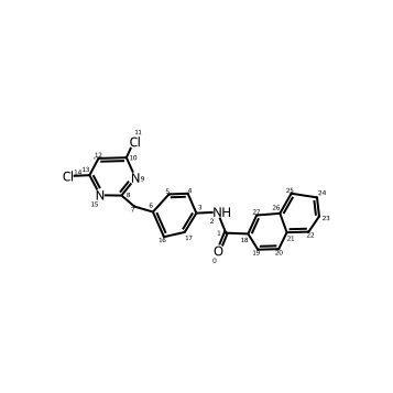 O=C(Nc1ccc(Cc2nc(Cl)[c]c(Cl)n2)cc1)c1ccc2ccccc2c1